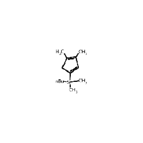 CCCC[Si](C)(C)C1=CC(C)=C(C)C1